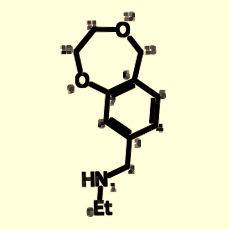 CCNCc1ccc2c(c1)OCCOC2